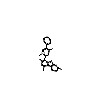 Cc1ccc2c(n1)oc1c(-c3cc(C)c(-c4ccccc4)c[n+]3C)c(C)cc(C)c12